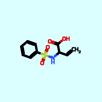 C=CC(NS(=O)(=O)c1ccccc1)C(=O)O